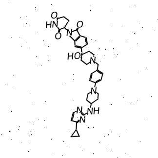 O=C1CCC(N2Cc3cc(C4(O)CCN(Cc5ccc(N6CCC(Nc7nccc(C8CC8)n7)CC6)cc5)CC4)ccc3C2=O)C(=O)N1